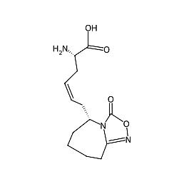 N[C@@H](C/C=C\C[C@H]1CCCCc2noc(=O)n21)C(=O)O